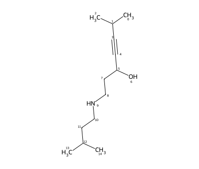 CC(C)C#CC(O)CCNCCC(C)C